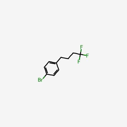 FC(F)(F)CCCc1ccc(Br)cc1